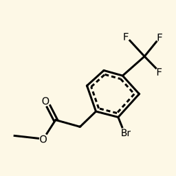 COC(=O)Cc1ccc(C(F)(F)F)cc1Br